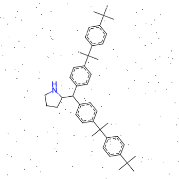 CC(C)(C)c1ccc(C(C)(C)c2ccc(C(c3ccc(C(C)(C)c4ccc(C(C)(C)C)cc4)cc3)C3CCCN3)cc2)cc1